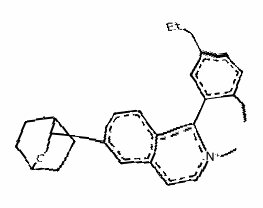 CCc1ccc(C)c(-c2c3ccc(C4CC5CCC4CC5)cc3cc[n+]2C)c1